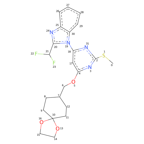 CSc1nc(OCC2CCC3(CC2)OCCO3)cc(-n2c(C(F)F)nc3ccccc32)n1